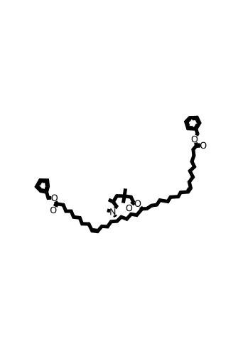 CC(CN(C)C)CC(C)(C)CC(=O)OC(CCCCCCCC/C=C\CCCCCCCC(=O)OCc1ccccc1)CCCCCCCC/C=C\CCCCCCCC(=O)OCc1ccccc1